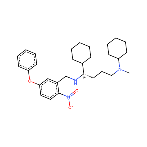 CN(CCC[C@H](NCc1cc(Oc2ccccc2)ccc1[N+](=O)[O-])C1CCCCC1)C1CCCCC1